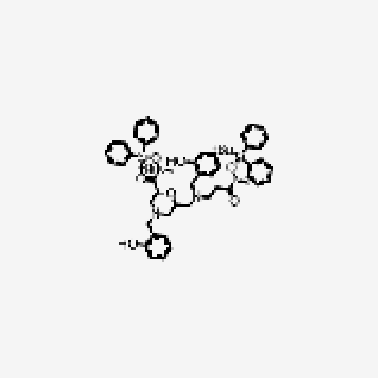 CN(O[Si](c1ccccc1)(c1ccccc1)C(C)(C)C)C(=O)CCN(Cc1ccccc1O)CC(O)CN(CCC(=O)N(C)O[Si](c1ccccc1)(c1ccccc1)C(C)(C)C)Cc1ccccc1O